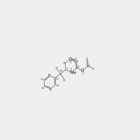 C=C(C)OC(=O)NC(CO)C(C)(C)c1ccccc1